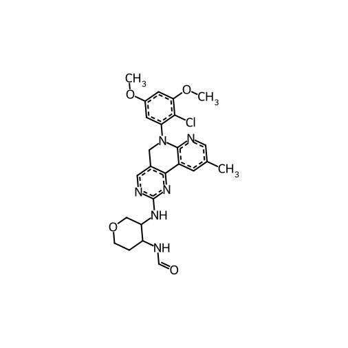 COc1cc(OC)c(Cl)c(N2Cc3cnc(NC4COCCC4NC=O)nc3-c3cc(C)cnc32)c1